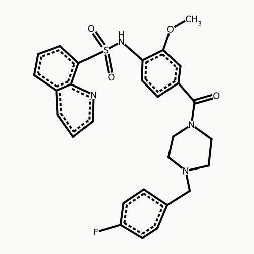 COc1cc(C(=O)N2CCN(Cc3ccc(F)cc3)CC2)ccc1NS(=O)(=O)c1cccc2cccnc12